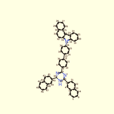 c1ccc2cc(C3=NC(c4ccc(-c5ccc(-n6c7ccccc7c7c8ccccc8ccc76)cc5)cc4)=NC(c4ccc5ccccc5c4)N3)ccc2c1